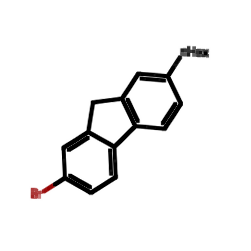 CCC[CH]CCc1ccc2c(c1)Cc1cc(Br)ccc1-2